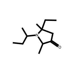 CCC(C)N1C(C)C(=O)CC1(C)CC